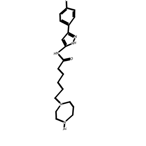 CC(=O)N1CCCN(CCCCCC(=O)Nc2cc(-c3ccc(F)cc3)n[nH]2)CC1